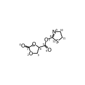 O=C1OCC(C(=O)OC2=NCCS2)O1